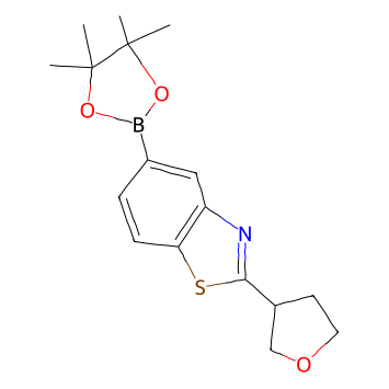 CC1(C)OB(c2ccc3sc(C4CCOC4)nc3c2)OC1(C)C